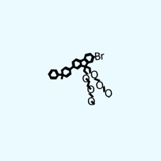 COCCOCCOCCC1(CCOCCOCCOC)c2cc(Br)ccc2-c2ccc(C3=CCC(C)(c4ccccc4)C=C3)cc21